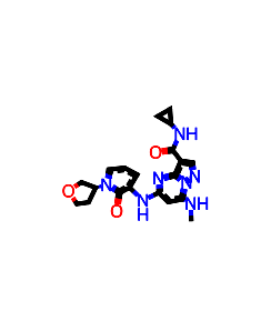 CNc1cc(Nc2cccn([C@H]3CCOC3)c2=O)nc2c(C(=O)NC3CC3)cnn12